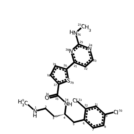 CNCC[C@@H](Cc1ccc(Cl)cc1Cl)NC(=O)c1ccc(-c2ccnc(NC)n2)s1